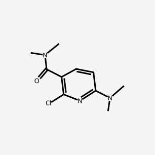 CN(C)C(=O)c1ccc(N(C)C)nc1Cl